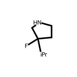 CC(C)C1(F)CCNC1